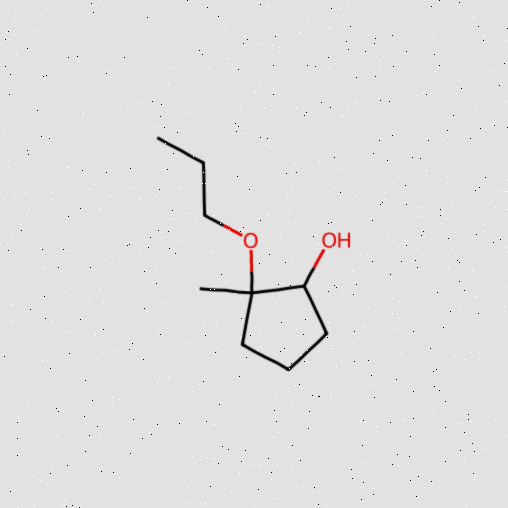 CCCOC1(C)CCCC1O